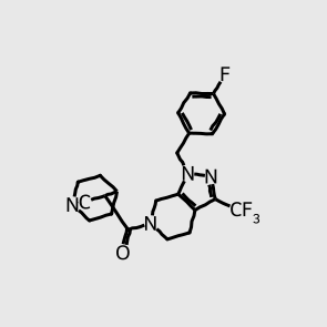 O=C(C1CN2CCC1CC2)N1CCc2c(C(F)(F)F)nn(Cc3ccc(F)cc3)c2C1